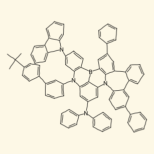 CC(C)(C)c1ccc(-c2cccc(N3c4cc(-n5c6ccccc6c6ccccc65)ccc4B4c5cc(-c6ccccc6)cc6c5N(c5ccc(-c7ccccc7)cc5-c5ccccc5-6)c5cc(N(c6ccccc6)c6ccccc6)cc3c54)c2)cc1